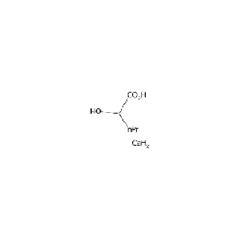 CCCC(O)C(=O)O.[CaH2]